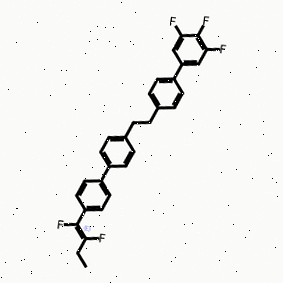 CC/C(F)=C(\F)c1ccc(-c2ccc(CCc3ccc(-c4cc(F)c(F)c(F)c4)cc3)cc2)cc1